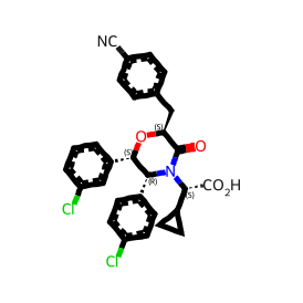 N#Cc1ccc(C[C@@H]2O[C@@H](c3cccc(Cl)c3)[C@@H](c3ccc(Cl)cc3)N([C@H](C(=O)O)C3CC3)C2=O)cc1